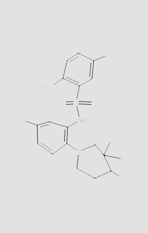 COc1ccc(C(=O)O)cc1S(=O)(=O)Nc1cc(C(F)(F)F)ccc1N1CCC(O)C(C)(C)C1